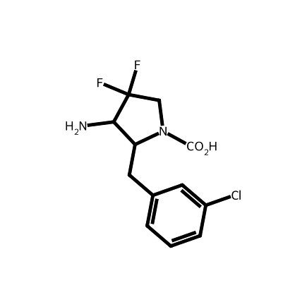 NC1C(Cc2cccc(Cl)c2)N(C(=O)O)CC1(F)F